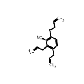 C=CCSc1ccc(CC=C)c(CC=C)c1C#N